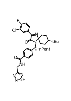 CCCCC[C@H](c1ccc(C(=O)NCc2nn[nH]n2)cc1)N1C(=O)C(c2ccc(F)c(Cl)c2)=NC12CCC(C(C)(C)C)CC2